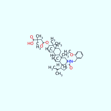 C=C(C)[C@@H]1CC[C@]2(C(=O)NCc3ccccc3OC)CC[C@]3(C)[C@H](CC[C@@H]4[C@@]5(C)CC[C@H](OC(=O)CC(C)(C)C(=O)O)C(C)(C)[C@@H]5CC[C@]43C)[C@@H]12